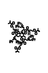 C=C(C)C(=O)OCCNC(=O)OC(CC1C(=O)C(CC(CN(CC(C)C)CC(C)C)OC(=O)NCCOC(=O)C(=C)C)C(=O)N(CC(CN(CC(C)C)CC(C)C)OC(=O)NCCOC(=O)C(=C)C)C1=O)CN(CC(C)C)CC(C)C